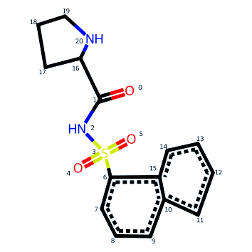 O=C(NS(=O)(=O)c1cccc2ccccc12)C1CCCN1